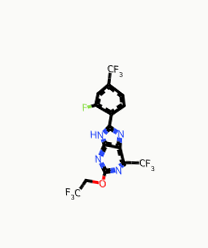 Fc1cc(C(F)(F)F)ccc1-c1nc2c(C(F)(F)F)nc(OCC(F)(F)F)nc2[nH]1